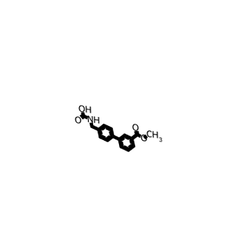 COC(=O)c1cccc(-c2ccc(CNC(=O)O)cc2)c1